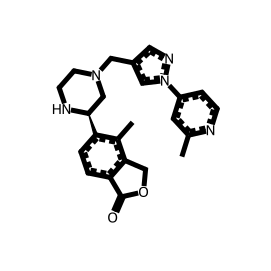 Cc1cc(-n2cc(CN3CCN[C@H](c4ccc5c(c4C)COC5=O)C3)cn2)ccn1